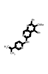 C=C(C)c1ccc(Nc2cc3c(C(C)C)c(OC)c(C(C)C)nc3cn2)nc1